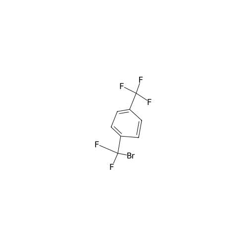 FC(F)(F)c1ccc(C(F)(F)Br)cc1